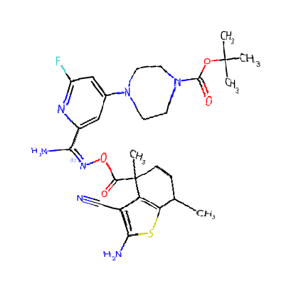 CC1CCC(C)(C(=O)O/N=C(/N)c2cc(N3CCN(C(=O)OC(C)(C)C)CC3)cc(F)n2)c2c1sc(N)c2C#N